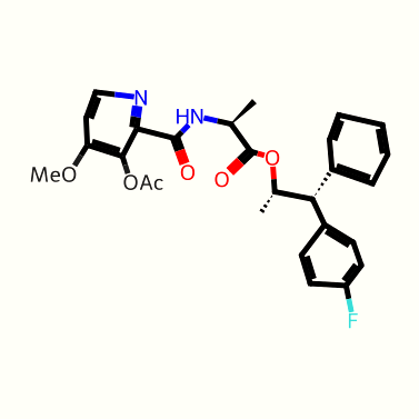 COc1ccnc(C(=O)N[C@@H](C)C(=O)O[C@@H](C)[C@H](c2ccccc2)c2ccc(F)cc2)c1OC(C)=O